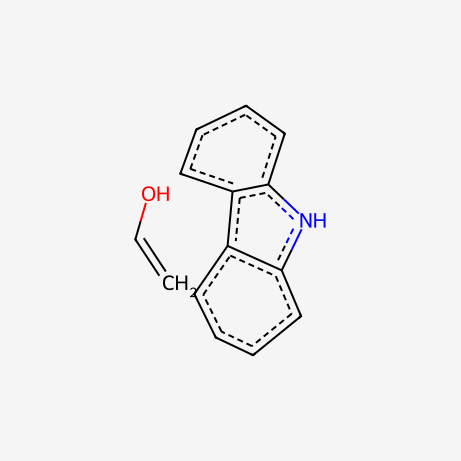 C=CO.c1ccc2c(c1)[nH]c1ccccc12